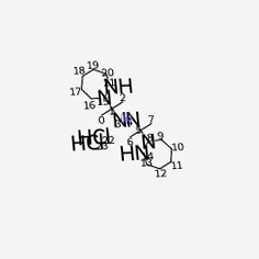 CC(C)(/N=N/C(C)(C)N1CCCCCN1)N1CCCCCN1.Cl.Cl